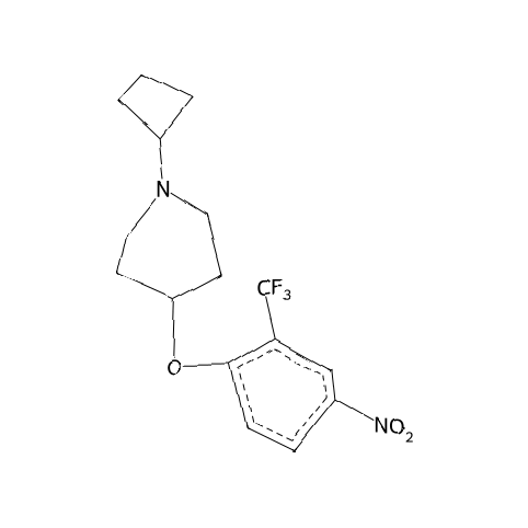 O=[N+]([O-])c1ccc(OC2CCN(C3CCC3)CC2)c(C(F)(F)F)c1